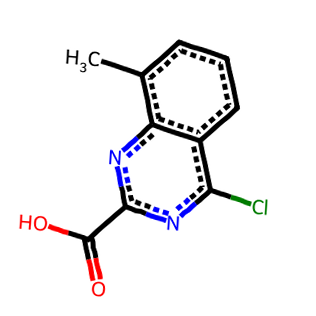 Cc1cccc2c(Cl)nc(C(=O)O)nc12